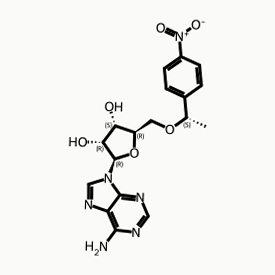 C[C@H](OC[C@H]1O[C@@H](n2cnc3c(N)ncnc32)[C@H](O)[C@@H]1O)c1ccc([N+](=O)[O-])cc1